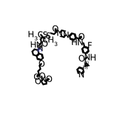 CC(C)(CC(=O)N/N=C1\CCCc2cc(OCCCC(=O)ON3C(=O)CCC3=O)ccc21)SSCCC(=O)N1CCN(c2ccc(C(=O)NCc3ccc(NC(=O)[C@H]4C[C@@H]4c4cccnc4)cc3F)cc2)CC1